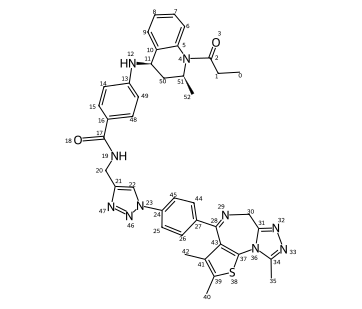 CCC(=O)N1c2ccccc2[C@H](Nc2ccc(C(=O)NCc3cn(-c4ccc(C5=NCc6nnc(C)n6-c6sc(C)c(C)c65)cc4)nn3)cc2)C[C@@H]1C